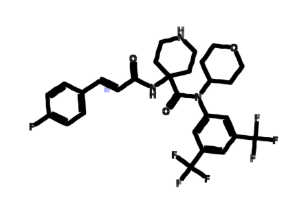 O=C(/C=C/c1ccc(F)cc1)NC1(C(=O)N(c2cc(C(F)(F)F)cc(C(F)(F)F)c2)C2CCOCC2)CCNCC1